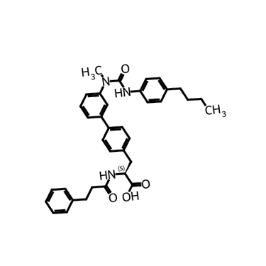 CCCCc1ccc(NC(=O)N(C)c2cccc(-c3ccc(C[C@H](NC(=O)CCc4ccccc4)C(=O)O)cc3)c2)cc1